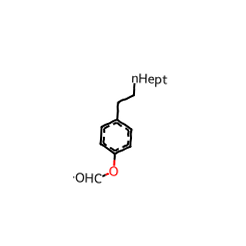 CCCCCCCCCc1ccc(O[C]=O)cc1